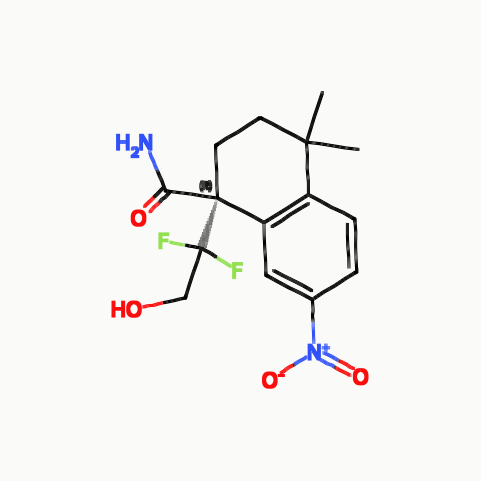 CC1(C)CC[C@@](C(N)=O)(C(F)(F)CO)c2cc([N+](=O)[O-])ccc21